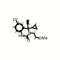 C#CC1(C2CC2)c2cc(Cl)ccc2NC(=O)N1CCOC